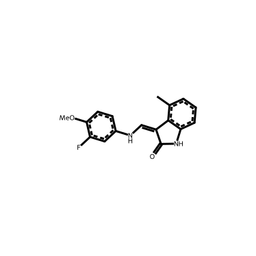 COc1ccc(NC=C2C(=O)Nc3cccc(C)c32)cc1F